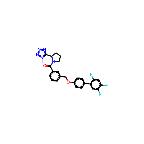 O=C(c1cccc(COc2ccc(-c3cc(F)c(F)cc3F)cc2)c1)N1CCCC1c1nnn[nH]1